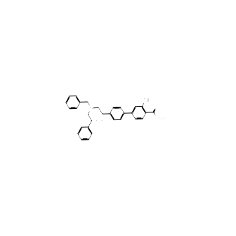 COC(=O)c1ccc(-c2ccc(CCN(Cc3ccccc3)C[C@H](O)c3ccccc3)cc2)cc1NC(C)=O